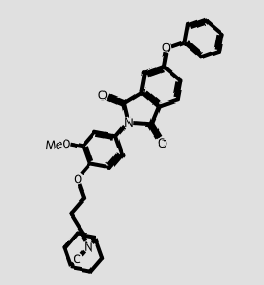 COc1cc(N2C(=O)c3ccc(Oc4ccccc4)cc3C2=O)ccc1OCCN1CC2CCC1CC2